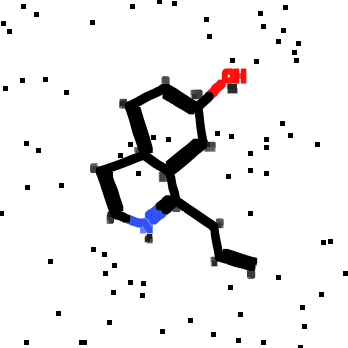 C=CCc1n[c]cc2ccc(O)cc12